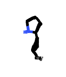 [CH2]/C=C/c1ccc[nH]1